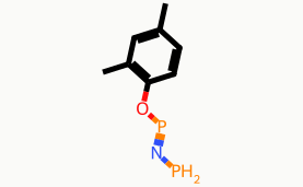 Cc1ccc(OP=NP)c(C)c1